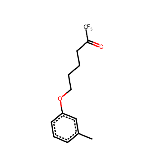 Cc1cccc(OCCCCC(=O)C(F)(F)F)c1